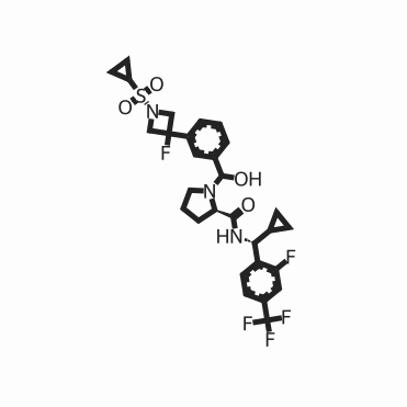 O=C(N[C@@H](c1ccc(C(F)(F)F)cc1F)C1CC1)[C@H]1CCCN1C(O)c1cccc(C2(F)CN(S(=O)(=O)C3CC3)C2)c1